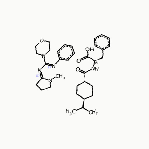 CC(C)[C@H]1CC[C@H](C(=O)N[C@H](Cc2ccccc2)C(=O)O)CC1.CN1CCC/C1=N/C(=N/c1ccccc1)N1CCOCC1